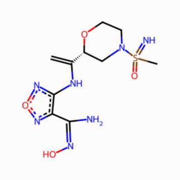 C=C(Nc1nonc1/C(N)=N\O)[C@H]1CN(S(C)(=N)=O)CCO1